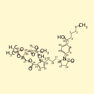 CCCCC[C@H](O)c1ccc(N2C(=O)CC[C@@H]2CCCc2ccc(C(=O)OC[C@H]3OC(C)(C)O[C@@H]3[C@@H]3COC(C)(C)O3)s2)cc1